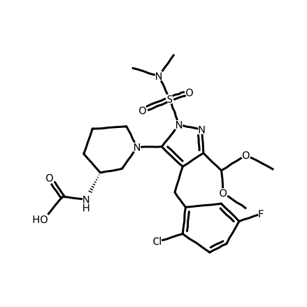 COC(OC)c1nn(S(=O)(=O)N(C)C)c(N2CCC[C@@H](NC(=O)O)C2)c1Cc1cc(F)ccc1Cl